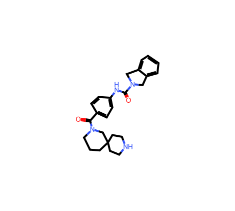 O=C(Nc1ccc(C(=O)N2CCCC3(CCNCC3)C2)cc1)N1Cc2ccccc2C1